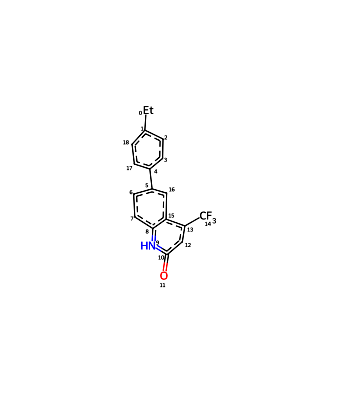 CCc1ccc(-c2ccc3[nH]c(=O)cc(C(F)(F)F)c3c2)cc1